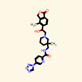 Cc1c(C(O)CN2CCCC(C)(CNC(=O)c3ccc(-n4cnnn4)cn3)C2)ccc2c1COC2=O